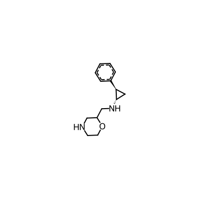 c1ccc([C@H]2C[C@@H]2NCC2CNCCO2)cc1